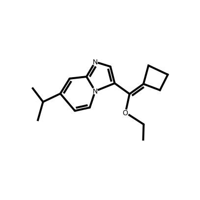 CCOC(=C1CCC1)c1cnc2cc(C(C)C)ccn12